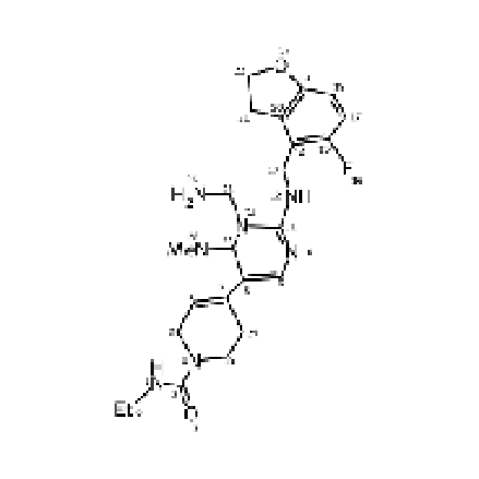 CCNC(=O)N1CC=C(C2=CN=C(NCc3c(F)ccc4c3CCO4)N(CN)C2NC)CC1